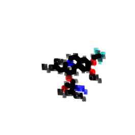 COc1cc2c(cc1OCC(F)(F)F)CCN1CC(CC(C)C)C(OC[C@](N)(C=O)C(C)C)CC21